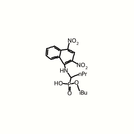 CCCC(Nc1c([N+](=O)[O-])cc([N+](=O)[O-])c2ccccc12)P(=O)(O)OC(C)CC